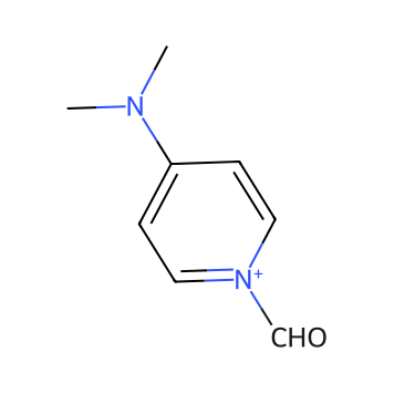 CN(C)c1cc[n+](C=O)cc1